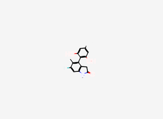 CCCc1cc(O)c(-c2c(C)c(F)cc3c2CC(=O)N3CC)c(O)c1